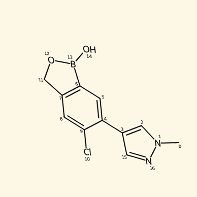 Cn1cc(-c2cc3c(cc2Cl)COB3O)cn1